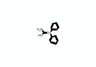 NC(=O)O.c1ccc(Sc2ccccc2)cc1